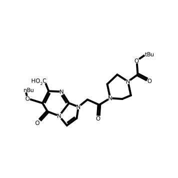 CCCCOc1c(C(=O)O)nc2n(CC(=O)N3CCN(C(=O)OC(C)(C)C)CC3)ccn2c1=O